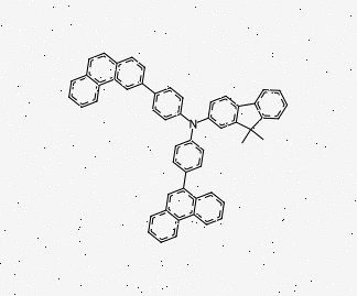 CC1(C)c2ccccc2-c2ccc(N(c3ccc(-c4ccc5ccc6ccccc6c5c4)cc3)c3ccc(-c4cc5ccccc5c5ccccc45)cc3)cc21